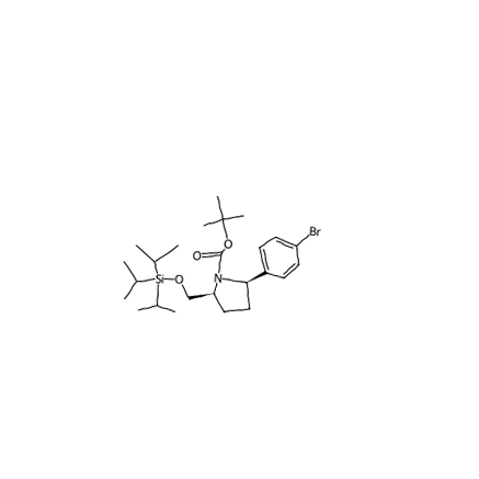 CC(C)[Si](OC[C@@H]1CC[C@H](c2ccc(Br)cc2)N1C(=O)OC(C)(C)C)(C(C)C)C(C)C